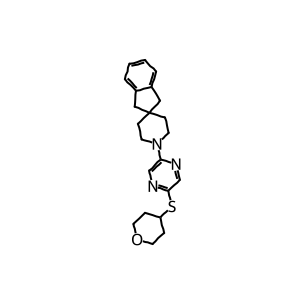 c1ccc2c(c1)CC1(CCN(c3cnc(SC4CCOCC4)cn3)CC1)C2